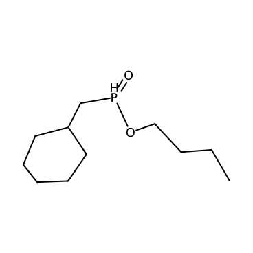 CCCCO[PH](=O)CC1CCCCC1